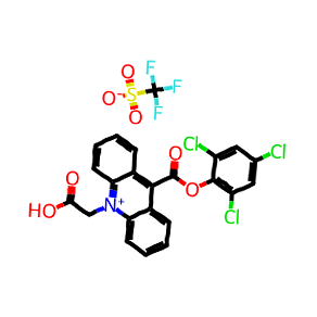 O=C(O)C[n+]1c2ccccc2c(C(=O)Oc2c(Cl)cc(Cl)cc2Cl)c2ccccc21.O=S(=O)([O-])C(F)(F)F